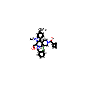 COc1ccc2c3c(n(C(C)=O)c2c1)C(CO)N(Cc1ccccc1F)CC31CCN(C(=O)C2CCC2)CC1